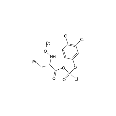 CCON[C@@H](CC(C)C)C(=O)OP(=O)(Cl)Oc1ccc(Cl)c(Cl)c1